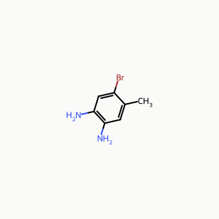 Cc1cc(N)c(N)cc1Br